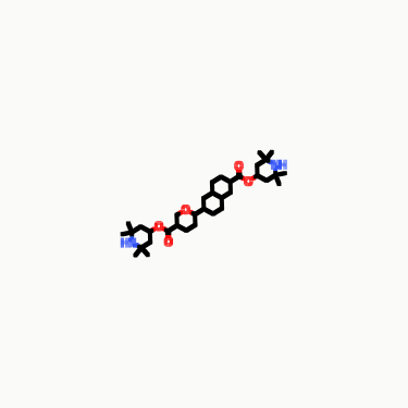 CC1(C)CC(OC(=O)C2CCC(C3CCC4CC(C(=O)OC5CC(C)(C)NC(C)(C)C5)CCC4C3)OC2)CC(C)(C)N1